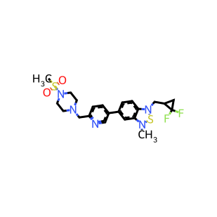 CN1SN(CC2CC2(F)F)c2ccc(-c3ccc(CN4CCN(S(C)(=O)=O)CC4)nc3)cc21